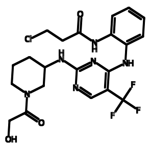 O=C(CCCl)Nc1ccccc1Nc1nc(NC2CCCN(C(=O)CO)C2)ncc1C(F)(F)F